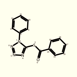 O=C(Sc1nnnn1-c1ccccc1)c1ccccc1